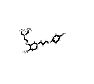 CCN(CC)CCOC1CN(CCCOc2ccc(F)cc2)CCC1N